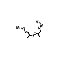 CC(CN=NC(C)(C)C)OOC(C)CN=NC(C)(C)C